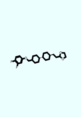 Fc1ccc(OCC2CCC([C@H]3CC[C@H](CCC4OCCO4)CC3)CC2)cc1F